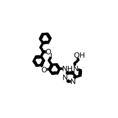 O=C(Cc1ccccc1)c1cccc(Oc2ccc(Nc3ncnc4ccn(CCO)c34)cc2CI)c1